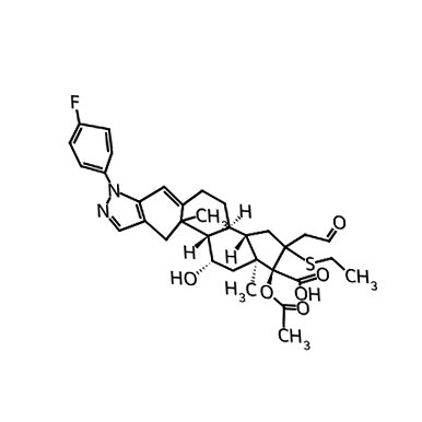 CCSC1(CC=O)C[C@H]2[C@@H]3CCC4=Cc5c(cnn5-c5ccc(F)cc5)CC4(C)[C@H]3[C@@H](O)C[C@]2(C)[C@@]1(OC(C)=O)C(=O)O